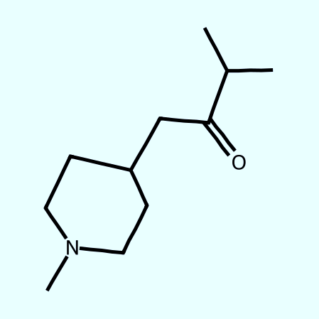 CC(C)C(=O)CC1CCN(C)CC1